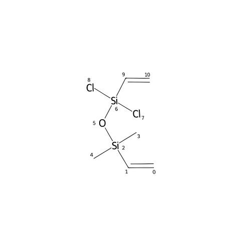 C=C[Si](C)(C)O[Si](Cl)(Cl)C=C